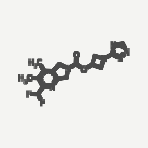 Cc1c(C(F)F)nc2c(c1C)CN(C(=O)OC1CN(c3ncns3)C1)C2